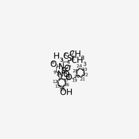 C[Si](C)(C)CCN1C(=O)CN(c2ccc(O)cc2OCc2ccccc2)S1(=O)=O